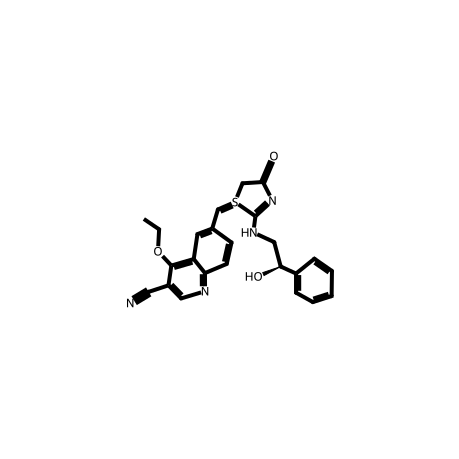 CCOc1c(C#N)cnc2ccc(/C=S3/CC(=O)N=C3NC[C@H](O)c3ccccc3)cc12